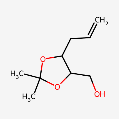 C=CCC1OC(C)(C)OC1CO